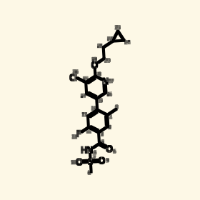 Cc1cc(C(=O)NS(C)(=O)=O)c(F)cc1-c1cnc(OCCC2CC2)c(Cl)c1